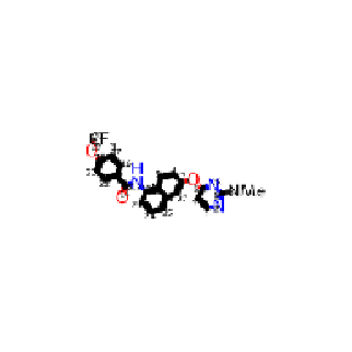 CNc1nccc(Oc2ccc3c(NC(=O)c4ccc(OC(F)(F)F)cc4)cccc3c2)n1